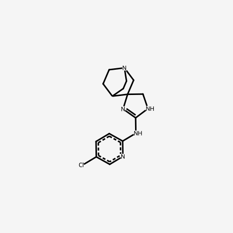 Clc1ccc(NC2=NC3(CN2)CN2CCC3CC2)nc1